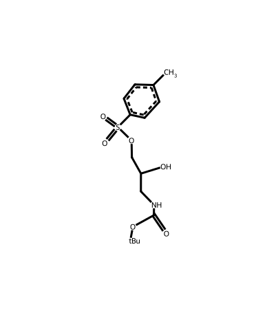 Cc1ccc(S(=O)(=O)OCC(O)CNC(=O)OC(C)(C)C)cc1